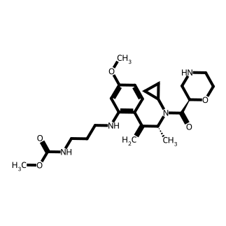 C=C(c1ccc(OC)cc1NCCCNC(=O)OC)[C@@H](C)N(C(=O)[C@H]1CNCCO1)C1CC1